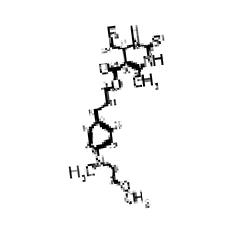 COCCN(C)c1ccc(CCCOC(=O)C2=C(C)NC(=S)NC2CF)cc1